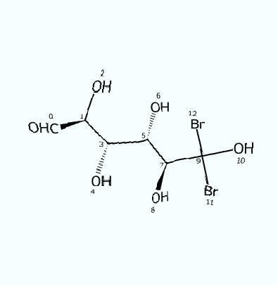 O=C[C@@H](O)[C@@H](O)[C@H](O)[C@H](O)C(O)(Br)Br